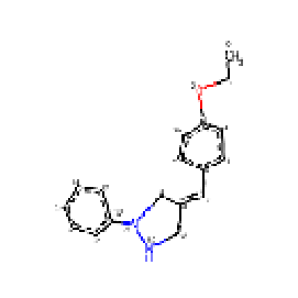 CCOc1ccc(/C=C2/CNN(c3ccccc3)C2)cc1